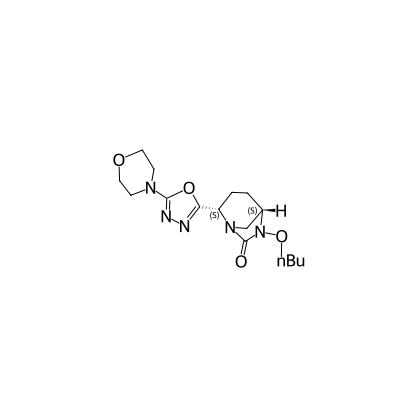 CCCCON1C(=O)N2C[C@@H]1CC[C@H]2c1nnc(N2CCOCC2)o1